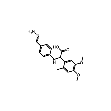 COc1cc(C)c(C(Nc2ccc(C=NN)cc2)C(=O)O)cc1OC